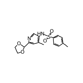 Cc1ccc(S(=O)(=O)Nc2cnc(C3OCCO3)cc2C)cc1